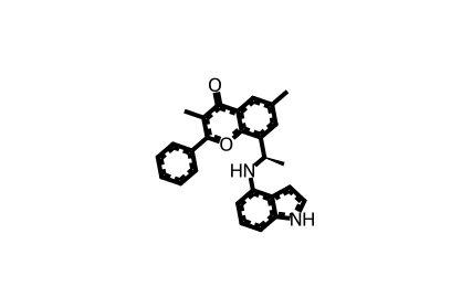 Cc1cc([C@@H](C)Nc2cccc3[nH]ccc23)c2oc(-c3ccccc3)c(C)c(=O)c2c1